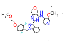 COCCOc1cc(F)c(Cn2nc(-c3nc4c(c(Nc5ccncc5OC)n3)COCC4)c3ccccc32)c(F)c1